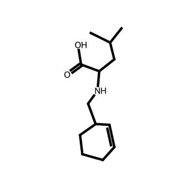 CC(C)CC(NCC1C=CCCC1)C(=O)O